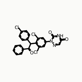 O=C(c1ccccc1)C(c1ccc(Cl)cc1)c1c(Cl)cc(-n2ncc(=O)[nH]c2=O)cc1Cl